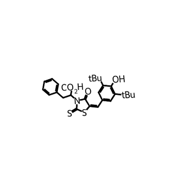 CC(C)(C)c1cc(C=C2SC(=S)N(C(Cc3ccccc3)C(=O)O)C2=O)cc(C(C)(C)C)c1O